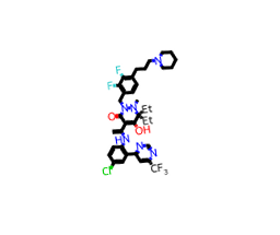 C=C(Nc1ccc(Cl)cc1-c1cc(C(F)(F)F)ncn1)C1=C(O)C(CC)(CC)N(C)N(Cc2ccc(CCCN3CCCCC3)c(F)c2F)C1=O